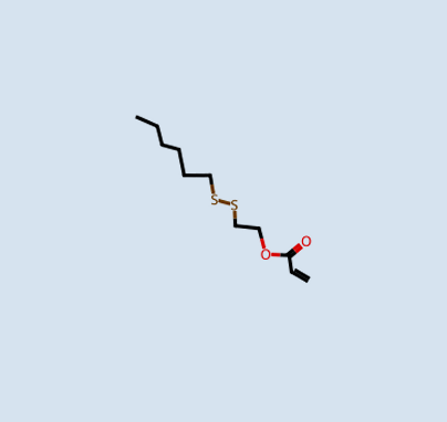 C=CC(=O)OCCSSCCCCCC